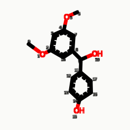 COc1cc(OC)cc(C(O)c2ccc(O)cc2)c1